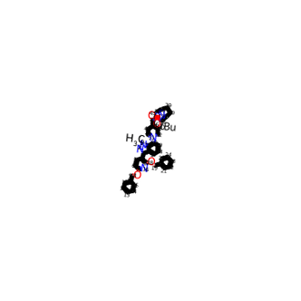 Cn1nc(-c2ccc(OCc3ccccc3)nc2OCc2ccccc2)c2cccc(N3CCC(CN4CC5CCC(C4)N5C(=O)OC(C)(C)C)CC3)c21